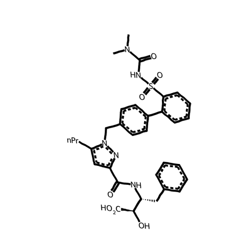 CCCc1cc(C(=O)N[C@H](Cc2ccccc2)[C@@H](O)C(=O)O)nn1Cc1ccc(-c2ccccc2S(=O)(=O)NC(=O)N(C)C)cc1